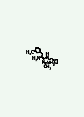 C/C(N)=N/C(NCCN1CCC1)=C(\N)Cc1cccc(C)c1